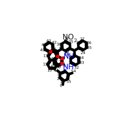 Cc1cc(C)c(NC2c3cccc4cccc(c34)C2Nc2c(C(c3ccccc3)c3ccccc3)cc([N+](=O)[O-])cc2C(c2ccccc2)c2ccccc2)c(C)c1